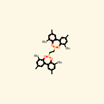 Cc1cc(C(C)(C)C)c2op(CCp3oc4c(C(C)(C)C)cc(C)cc4c4cc(C)cc(C(C)(C)C)c4o3)oc3c(C(C)(C)C)cc(C)cc3c2c1